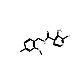 COc1cc(C)ccc1CNC(=O)c1ccnc(Cl)c1N